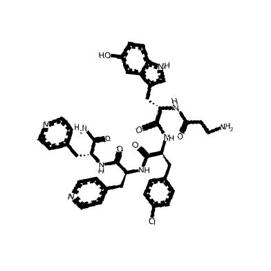 NCCC(=O)N[C@@H](Cc1c[nH]c2ccc(O)cc12)C(=O)N[C@@H](Cc1ccc(Cl)cc1)C(=O)N[C@@H](Cc1ccncc1)C(=O)N[C@H](Cc1ccncc1)C(N)=O